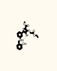 CCOC(=O)COc1c(C(=O)OC)sc(-c2cccc(NCc3ccccc3O)c2)c1Br